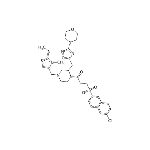 C/N=c1\scc(CN2CCN(C(=O)CCS(=O)(=O)c3ccc4cc(Cl)ccc4c3)C(Cc3nc(N4CCOCC4)no3)C2)n1C